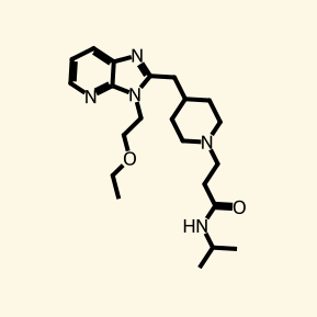 CCOCCn1c(CC2CCN(CCC(=O)NC(C)C)CC2)nc2cccnc21